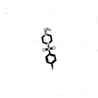 CCCCN1CCN(S(=O)(=O)c2ccc(F)cc2)CC1